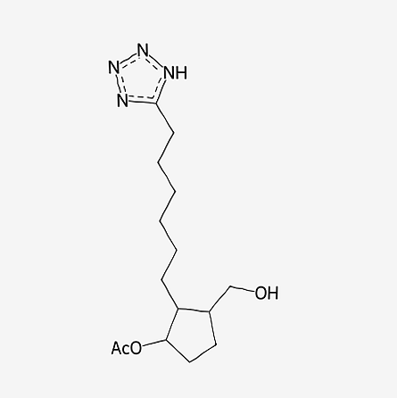 CC(=O)OC1CCC(CO)C1CCCCCCc1nnn[nH]1